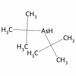 CC(C)(C)[AsH]C(C)(C)C